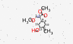 CO/C=C(/C(=O)OC)c1ccc(C)c(O)c1